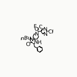 CCCCN1C(=O)C(Cc2ccccc2)NC12CCN(C(=O)c1cnc(Cl)nc1C(F)(F)F)CC2